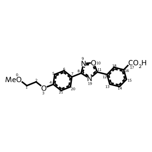 COCCOc1ccc(-c2noc(-c3cccc(C(=O)O)c3)n2)cc1